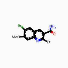 CCc1nc2cc(OC)c(Br)cc2cc1C(N)=O